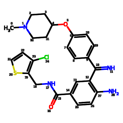 CN1CCC(Oc2ccc(C(=N)c3cc(C(=O)NCc4sccc4Cl)ccc3N)cc2)CC1